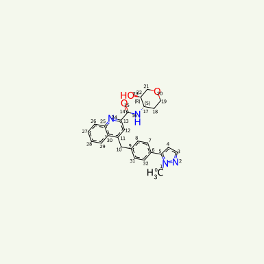 Cn1nccc1-c1ccc(Cc2cc(C(=O)N[C@H]3CCOC[C@@H]3O)nc3ccccc23)cc1